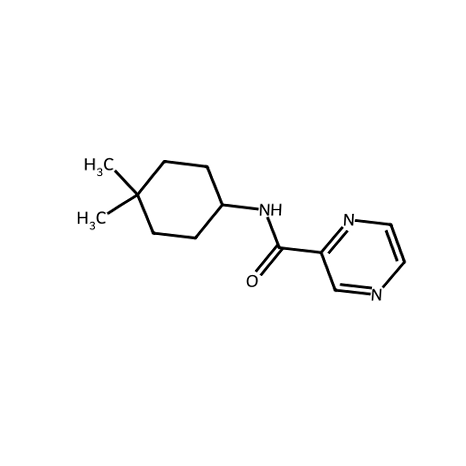 CC1(C)CCC(NC(=O)c2cnccn2)CC1